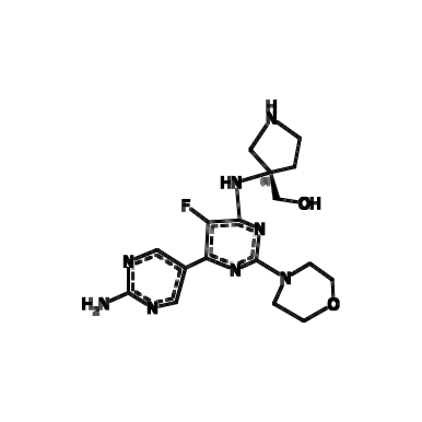 Nc1ncc(-c2nc(N3CCOCC3)nc(N[C@@]3(CO)CCNC3)c2F)cn1